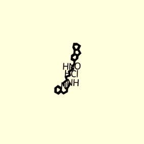 Cl.O=C(NCCCCC1CN2c3ccccc3CCC2CN1)c1ccc2c(c1)Cc1ccccc1-2